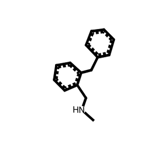 CNCc1ccccc1Cc1ccccc1